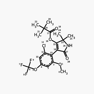 COc1cc(OC(F)(F)F)cc(Cl)c1C1=C(OC(=O)C(C)(C)C)C(C)(C)NC1=O